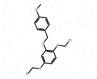 COc1ccc(CSc2cc(OCCl)ccc2OCCl)cc1